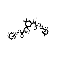 CC1(C)CC(NC(=O)[O][U][CH]2CN3CC[N]2[Y][CH2]3)CC(C)(CNC(=O)[O][U][CH]2CN3CC[N]2[Y][CH2]3)C1